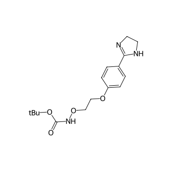 CC(C)(C)OC(=O)NOCCOc1ccc(C2=NCCN2)cc1